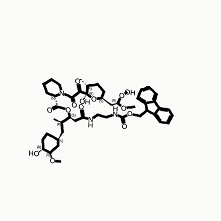 CO[C@@H](C[C@@H]1CC[C@@H](C)[C@](O)(C(=O)C(=O)N2CCCC[C@H]2C(=O)O[C@@H](CC(=O)NCCNC(=O)OCC2c3ccccc3-c3ccccc32)[C@H](C)C[C@@H]2CC[C@@H](O)[C@H](OC)C2)O1)OO